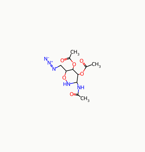 CC(=O)NC1NOC(CN=[N+]=[N-])C(OC(C)=O)C1OC(C)=O